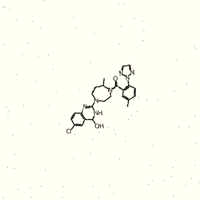 Cc1ccc(-n2nccn2)c(C(=O)N2CCN(C3=Nc4ccc(Cl)cc4C(O)N3)CCC2C)c1